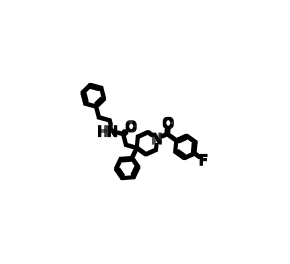 O=C(CC1(c2ccccc2)CCN(C(=O)c2ccc(F)cc2)CC1)NCCc1ccccc1